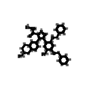 CCNC(=O)c1noc(-c2cc(C(C)C)c(OCc3ccccc3)cc2OCc2ccccc2)c1-c1ccc2c(c1)CCN(C(C)C)C2